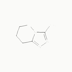 CC(C)(C)c1nnc2n1OCCC2